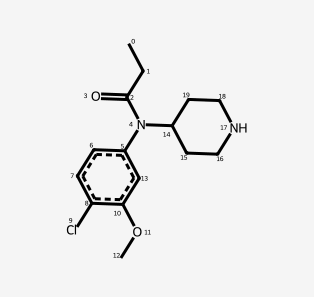 CCC(=O)N(c1ccc(Cl)c(OC)c1)C1CCNCC1